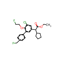 CCOC(=O)C(c1cc(Cl)c(OCCF)c(-c2ccc(CF)cc2)c1)C1CCCC1